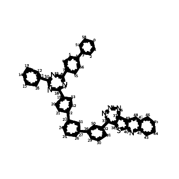 c1ccc(-c2ccc(-c3nc(-c4ccccc4)nc(-c4ccc(-c5cccc(-c6cccc(-c7nnnc8c7sc7nc9ccccc9cc78)c6)c5)cc4)n3)cc2)cc1